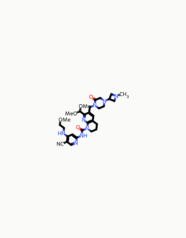 COCCNc1cc(NC(=O)N2CCCc3cc(CN4CCN(C5CN(C)C5)CC4=O)c(C(OC)OC)nc32)ncc1C#N